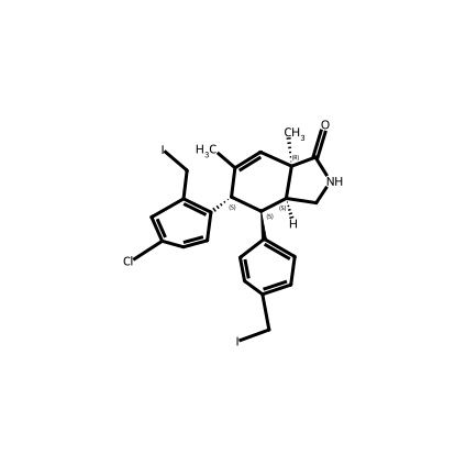 CC1=C[C@@]2(C)C(=O)NC[C@H]2[C@@H](c2ccc(CI)cc2)[C@@H]1c1ccc(Cl)cc1CI